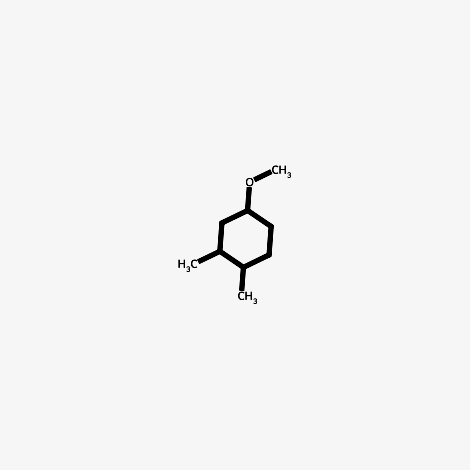 COC1CCC(C)C(C)C1